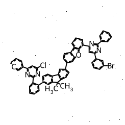 CC1(C)c2ccc(-c3ccc4c(c3)oc3c(-c5cc(-c6cccc(Br)c6)nc(-c6ccccc6)n5)cccc34)cc2-c2ccc(-c3ccccc3-c3nc(Cl)cc(-c4ccccc4)n3)cc21